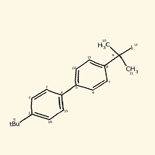 CC(C)(C)c1ccc(-c2ccc(C(C)(C)I)cc2)cc1